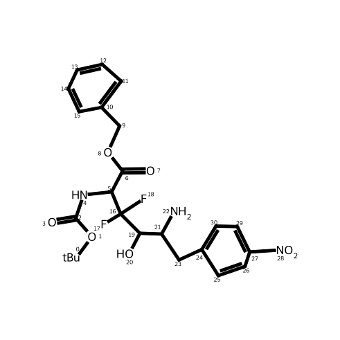 CC(C)(C)OC(=O)NC(C(=O)OCc1ccccc1)C(F)(F)C(O)C(N)Cc1ccc([N+](=O)[O-])cc1